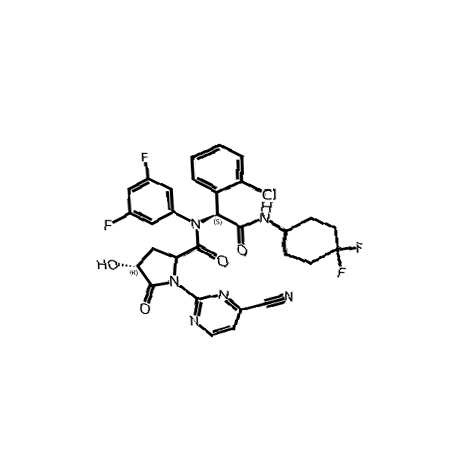 N#Cc1ccnc(N2C(=O)[C@H](O)CC2C(=O)N(c2cc(F)cc(F)c2)[C@H](C(=O)NC2CCC(F)(F)CC2)c2ccccc2Cl)n1